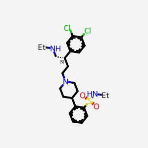 CCNC[C@@H](CCN1CCC(c2ccccc2S(=O)(=O)NCC)CC1)c1ccc(Cl)c(Cl)c1